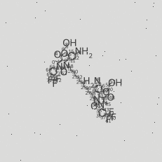 CC1=C(C(=O)OCCO)C(c2ccc(N)cc2)N(CCCCCCCCCCCCN2C(=O)N(c3cccc(C(F)(F)F)c3)C(C)=C(C(=O)OCCO)C2c2ccc(N)cc2)C(=O)N1c1cccc(C(F)(F)F)c1